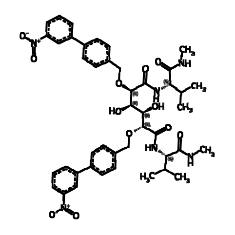 CNC(=O)[C@@H](NC(=O)[C@H](OCc1ccc(-c2cccc([N+](=O)[O-])c2)cc1)[C@H](O)[C@@H](O)[C@@H](OCc1ccc(-c2cccc([N+](=O)[O-])c2)cc1)C(=O)N[C@H](C(=O)NC)C(C)C)C(C)C